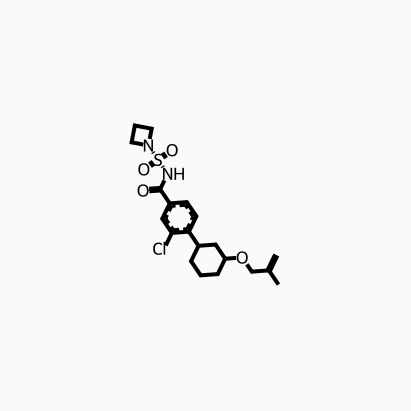 C=C(C)COC1CCCC(c2ccc(C(=O)NS(=O)(=O)N3CCC3)cc2Cl)C1